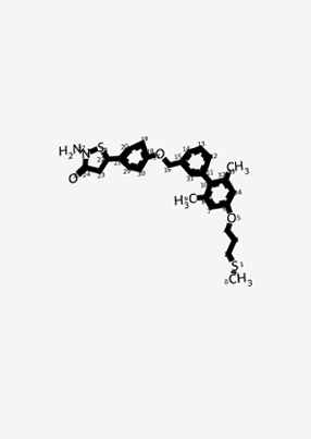 CSCCCOc1cc(C)c(-c2cccc(COc3ccc(C4CC(=O)N(N)S4)cc3)c2)c(C)c1